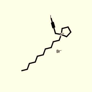 CCCCCCCCCC[N+]1(CC#CI)CCCC1.[Br-]